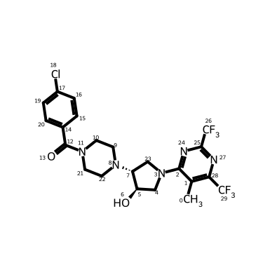 Cc1c(N2C[C@@H](O)[C@H](N3CCN(C(=O)c4ccc(Cl)cc4)CC3)C2)nc(C(F)(F)F)nc1C(F)(F)F